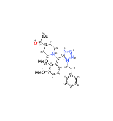 COc1cccc(C(c2nnnn2CCc2ccccc2)N2CCC(C(=O)C(C)(C)C)CC2)c1OC